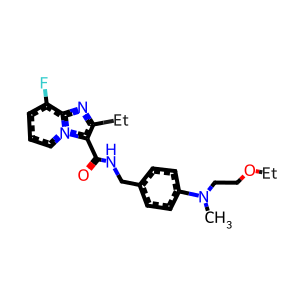 CCOCCN(C)c1ccc(CNC(=O)c2c(CC)nc3c(F)cccn23)cc1